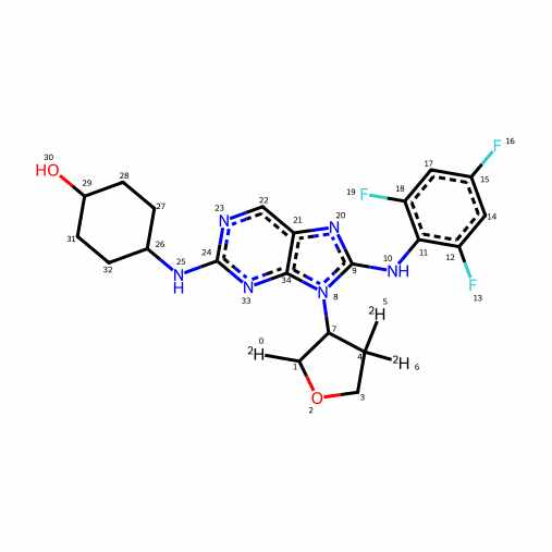 [2H]C1OCC([2H])([2H])C1n1c(Nc2c(F)cc(F)cc2F)nc2cnc(NC3CCC(O)CC3)nc21